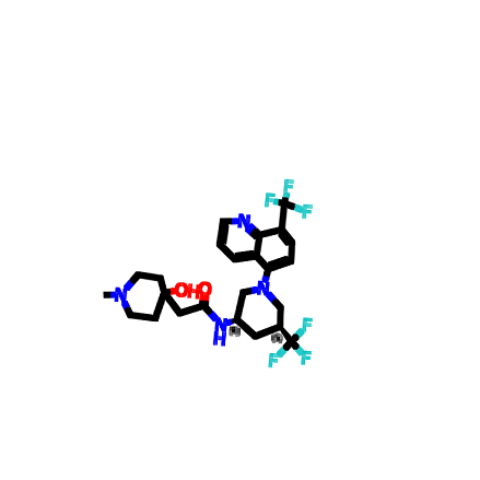 CN1CCC(O)(CC(=O)N[C@@H]2C[C@H](C(F)(F)F)CN(c3ccc(C(F)(F)F)c4ncccc34)C2)CC1